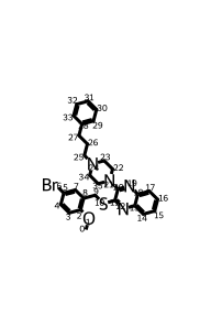 COc1ccc(Br)cc1CSc1nc2ccccc2nc1N1CCN(CCCc2ccccc2)CC1